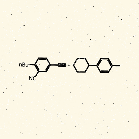 CCCCc1ccc(C#C[C@H]2CC[C@H](c3ccc(C)cc3)CC2)cc1C#N